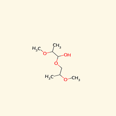 COC(C)COC(O)C(C)OC